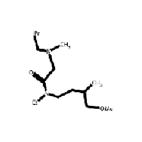 CCN(CCC(C)COC)C(=O)CN(C)CC(C)C